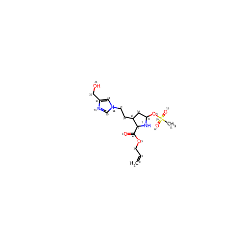 C=CCOC(=O)C1NC(OS(C)(=O)=O)CC1CCn1cnc(CO)c1